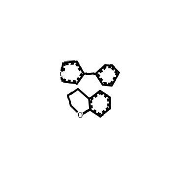 c1ccc(-c2ccccc2)cc1.c1ccc2c(c1)CCCO2